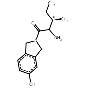 CC[C@@H](C)C(N)C(=O)N1Cc2ccc(O)cc2C1